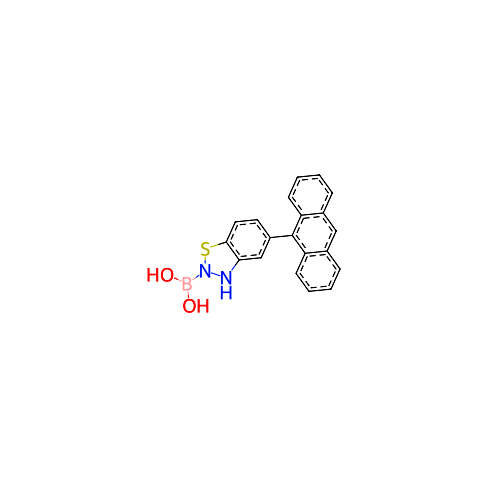 OB(O)N1Nc2cc(-c3c4ccccc4cc4ccccc34)ccc2S1